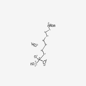 CCCCCCCCCCCCCCCCC(Cl)(Cl)C(=O)O.Cl